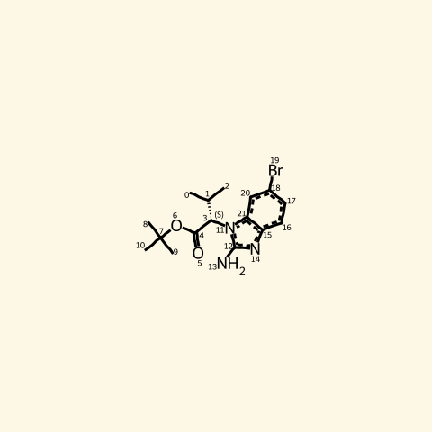 CC(C)[C@@H](C(=O)OC(C)(C)C)n1c(N)nc2ccc(Br)cc21